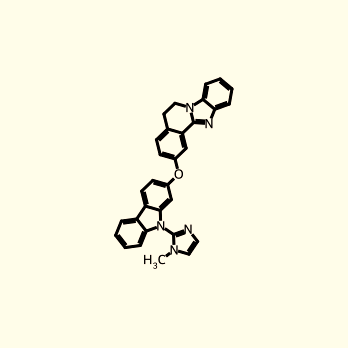 Cn1ccnc1-n1c2ccccc2c2ccc(Oc3ccc4c(c3)-c3nc5ccccc5n3CC4)cc21